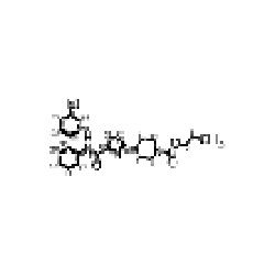 C=CCOC(=O)N1CCC(c2nc(C(=O)Nc3ccccc3-c3ccc(CC)cc3)cs2)CC1